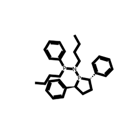 CCCCN(P(CCCC)c1ccccc1)P1[C@H](c2ccccc2)CC[C@H]1c1ccccc1